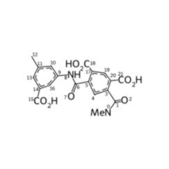 CNC(=O)c1cc(C(=O)Nc2cc(C)cc(C(=O)O)c2)c(C(=O)O)cc1C(=O)O